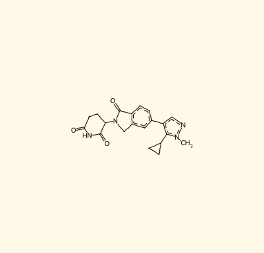 Cn1ncc(-c2ccc3c(c2)CN(C2CCC(=O)NC2=O)C3=O)c1C1CC1